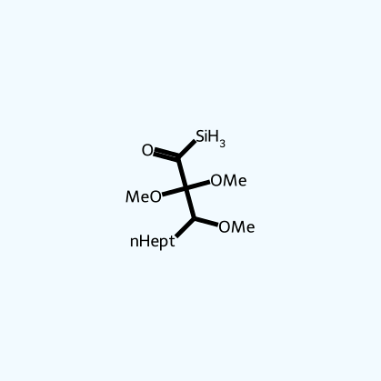 CCCCCCCC(OC)C(OC)(OC)C(=O)[SiH3]